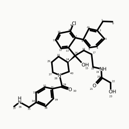 CCc1cccc(-c2c(Cl)cccc2C(O)(CCCNC(=O)CO)[C@@H]2CCCN(C(=O)c3ccc(CNC)cc3)C2)c1